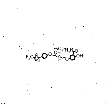 CS(=O)(=O)O.Cn1c(C(F)(F)F)cnc1-c1ccc(OCC(O)CNCCOc2ccc(O)c(C(N)=O)c2)cc1